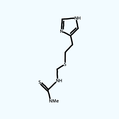 CNC(=S)NCSCCc1c[nH]cn1